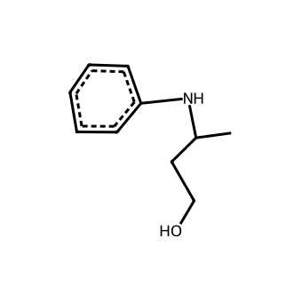 CC(CCO)Nc1ccccc1